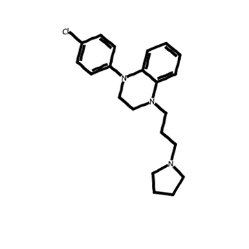 Clc1ccc(N2CCN(CCCN3CCCC3)c3ccccc32)cc1